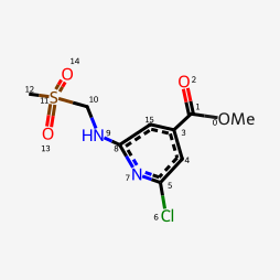 COC(=O)c1cc(Cl)nc(NCS(C)(=O)=O)c1